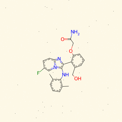 Cc1cccc(C)c1Nc1c(-c2c(CO)cccc2OCC(N)=O)nc2ccc(F)cn12